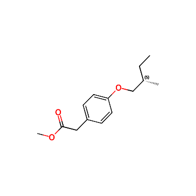 CC[C@H](C)COc1ccc(CC(=O)OC)cc1